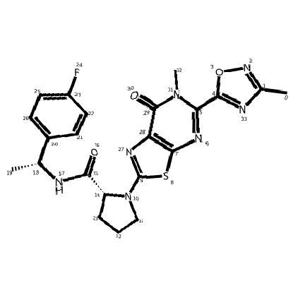 Cc1noc(-c2nc3sc(N4CCC[C@@H]4C(=O)N[C@H](C)c4ccc(F)cc4)nc3c(=O)n2C)n1